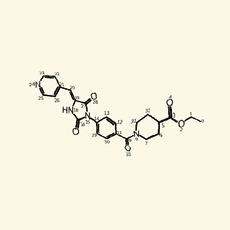 CCOC(=O)C1CCN(C(=O)c2ccc(N3C(=O)N/C(=C\c4ccncc4)C3=O)cc2)CC1